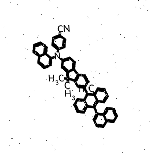 CC1(C)c2cc(C3c4ccccc4C(c4cccc5ccccc45)=C4C=CC=CC43C)ccc2-c2ccc(N(c3ccc(C#N)cc3)c3cccc4ccccc34)cc21